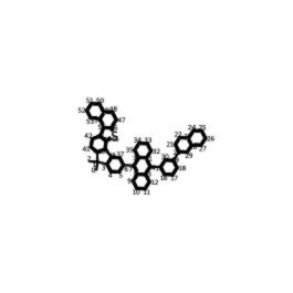 CC1(C)c2ccc(-c3c4ccccc4c(-c4cccc(-c5ccc6ccccc6c5)c4)c4ccccc34)cc2-c2c1ccc1c2sc2ccc3ccccc3c21